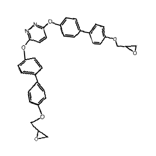 c1cc(-c2ccc(Oc3ccc(Oc4ccc(-c5ccc(OCC6CO6)cc5)cc4)nn3)cc2)ccc1OCC1CO1